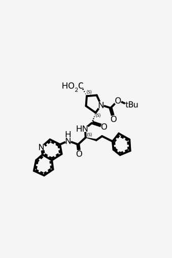 CC(C)(C)OC(=O)N1C[C@@H](C(=O)O)C[C@H]1C(=O)N[C@@H](CCc1ccccc1)C(=O)Nc1cnc2ccccc2c1